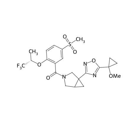 COC1(c2nc(C34CC3CN(C(=O)c3cc(S(C)(=O)=O)ccc3O[C@@H](C)C(F)(F)F)C4)no2)CC1